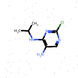 CC(C)Nc1nc(Cl)ncc1N